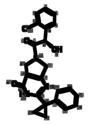 O=C([C@H](O)c1ccccc1Cl)N1Cc2nc(C3(c4ccccc4)CC3)[nH]c(=O)c2C1